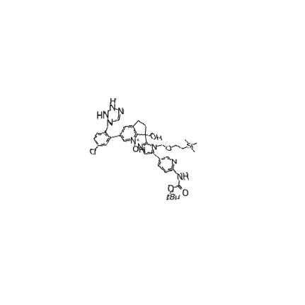 CC(C)(C)OC(=O)Nc1ccc(-c2cnc(C3(O)CCc4cc(-c5cc(Cl)ccc5N5C=NNN5)c[n+](O)c43)n2COCC[Si](C)(C)C)cn1